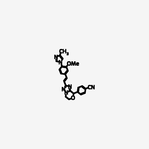 COc1cc(C=Cc2nc3n(n2)CCOC3c2ccc(C#N)cc2)ccc1-n1cnc(C)c1